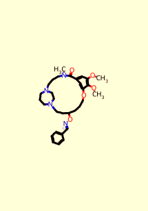 COc1cc2cc(c1OC)OCCCC(O/N=C/c1ccccc1)CCN1CCCN(CCCN(C)C2=O)CC1